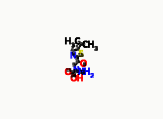 CC(C)c1cnc(C(=O)CN(N)C(=O)O)s1